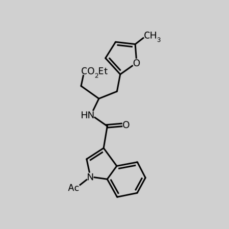 CCOC(=O)CC(Cc1ccc(C)o1)NC(=O)c1cn(C(C)=O)c2ccccc12